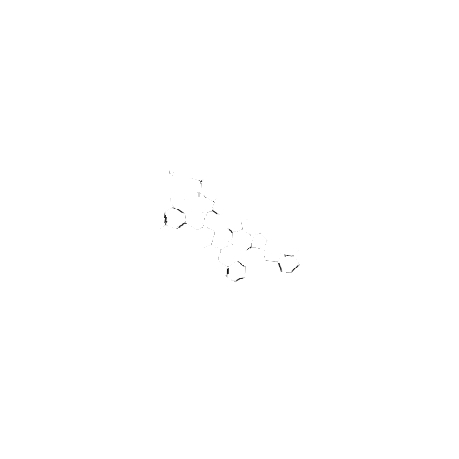 CCC(C)C(C(=O)NC(Cc1ccccc1)C(O)CN(Cc1cc(C)cc(C)c1)NC(=O)C(NC(=O)OC)C(C)(C)C)N1CCN(Cc2cccc(C)n2)C1=O